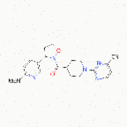 CNc1ccc(C2CCON2C(=O)C2CCN(c3nccc(C#N)n3)CC2)cn1